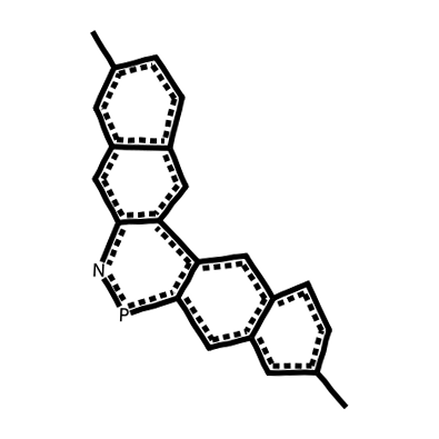 Cc1ccc2cc3c(cc2c1)npc1cc2cc(C)ccc2cc13